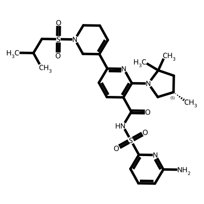 CC(C)CS(=O)(=O)N1CCC=C(c2ccc(C(=O)NS(=O)(=O)c3cccc(N)n3)c(N3C[C@@H](C)CC3(C)C)n2)C1